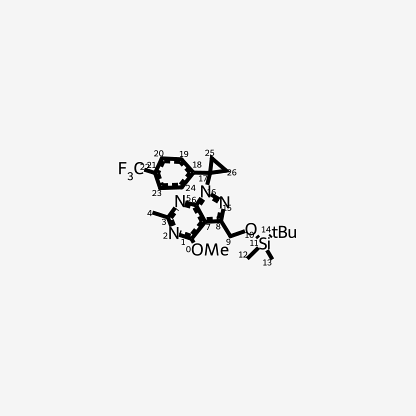 COc1nc(C)nc2c1c(CO[Si](C)(C)C(C)(C)C)nn2C1(c2ccc(C(F)(F)F)cc2)CC1